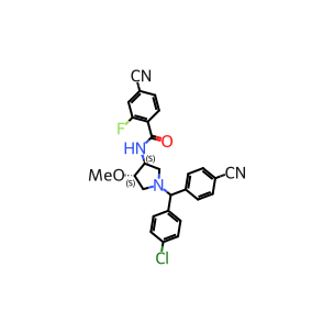 CO[C@H]1CN(C(c2ccc(Cl)cc2)c2ccc(C#N)cc2)C[C@@H]1NC(=O)c1ccc(C#N)cc1F